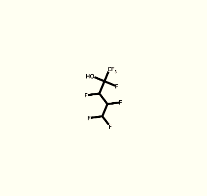 OC(F)(C(F)C(F)C(F)F)C(F)(F)F